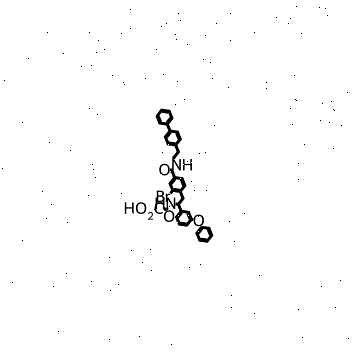 O=C(O)C(=O)NC(Cc1ccc(C(=O)NCCc2ccc(-c3ccccc3)cc2)cc1Br)c1cccc(Oc2ccccc2)c1